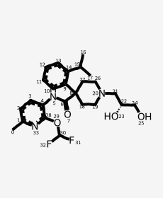 Cc1ccc(NC(=O)C2(c3ccccc3C(C)C)CCN(C[C@@H](O)CO)CC2)c(OC(F)F)n1